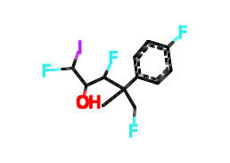 CC(CF)(c1ccc(F)cc1)C(F)C(O)C(F)I